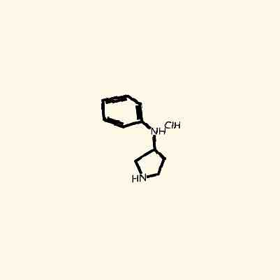 Cl.c1ccc(NC2CCNC2)cc1